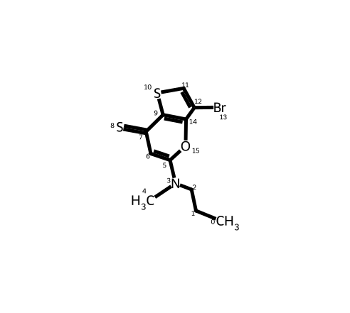 CCCN(C)c1cc(=S)c2scc(Br)c2o1